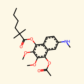 CCCCC(C)(C)C(=O)Oc1c(OC)c(OC)c(OC(C)=O)c2cc(NC)ccc12